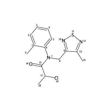 Cc1ccccc1N(Cc1nsnc1C)C(=O)C(C)Cl